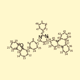 c1ccc(-c2nc(-c3ccc(-c4cccc5c4oc4ccccc45)cc3)cc(-c3ccc4c5ccccc5c5ccccc5c4c3)n2)cc1